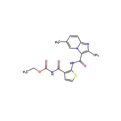 CCOC(=O)NC(=O)c1ccsc1NC(=O)c1c(C)nc2ccc(C)cn12